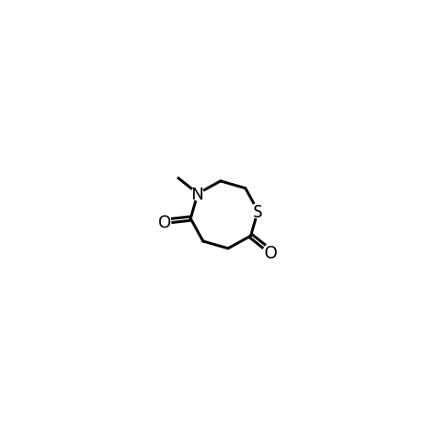 CN1CCSC(=O)CCC1=O